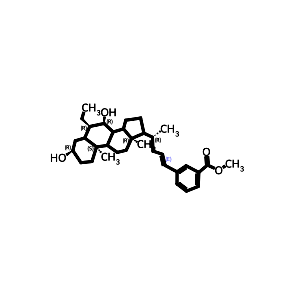 CC[C@@H]1C2C[C@H](O)CC[C@]2(C)C2CC[C@@]3(C)C(CCC3[C@H](C)C/C=C/c3cccc(C(=O)OC)c3)C2[C@@H]1O